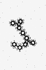 c1ccc(-c2cccc(-c3ccc4c(c3)c3cc(-c5ccc(-c6ccc7c(c6)c6ccccc6n7-c6ccccc6)cc5)ccc3n4-c3ccccc3)c2)cc1